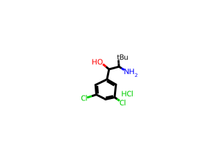 CC(C)(C)C(N)C(O)c1cc(Cl)cc(Cl)c1.Cl